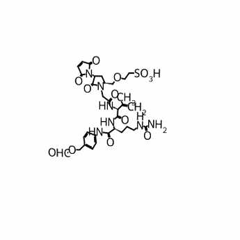 C=C(C)[C@H](NC(=O)CN1C(=O)[C@@H](N2C(=O)C=CC2=O)C[C@H]1COCCS(=O)(=O)O)C(=O)N[C@@H](CCCNC(N)=O)C(=O)Nc1ccc(COC=O)cc1